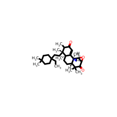 CCC1(CC[C@]2(C)C(C)C(=O)C=C3[C@@]4(C)[C@H]5O[C@@]5(C#N)C(=O)C(C)(C)[C@@H]4CC[C@]32C)CCC(C)(C)CC1